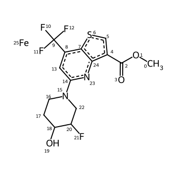 COC(=O)c1csc2c(C(F)(F)F)cc(N3CCC(O)C(F)C3)nc12.[Fe]